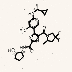 CC1CC(F)(F)CN1C(=O)c1nc(C(=O)N[C@@H]2CCC[C@@H]2O)sc1-c1cnc(N[C@@H](C)C2CC2)cc1C(F)(F)F